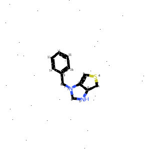 C1=C2C(CS1)NCN2Cc1ccccc1